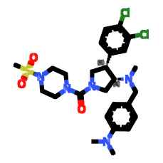 CN(C)c1ccc(CN(C)[C@@H]2CN(C(=O)N3CCN(S(C)(=O)=O)CC3)C[C@@H]2c2ccc(Cl)c(Cl)c2)cc1